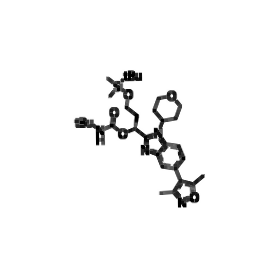 Cc1noc(C)c1-c1ccc2c(c1)nc([C@H](CCO[Si](C)(C)C(C)(C)C)OC(=O)NC(C)(C)C)n2C1CCOCC1